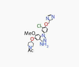 COc1cc2c(cc1OC1CCN(C(C)=O)CC1)C(N)N=CN2c1ccc(OCc2cnccn2)c(Cl)c1